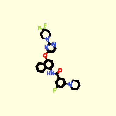 O=C(Nc1ccc(Oc2ccnc(N3CCC(F)(F)CC3)n2)c2ccccc12)c1cc(F)cc(N2CCCCC2)c1